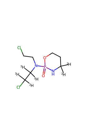 [2H]C1([2H])CCOP(=O)(N(CCCl)C([2H])([2H])C([2H])([2H])Cl)N1